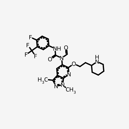 Cc1nn(C)c2nc(OCCC3CCCCN3)c(N(C=O)C(=O)Nc3ccc(F)c(C(F)(F)F)c3)cc12